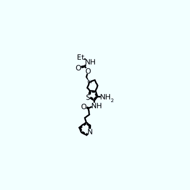 CCNC(=O)OC[C@H]1CCc2c(sc(NC(=O)CCc3cccnc3)c2N)C1